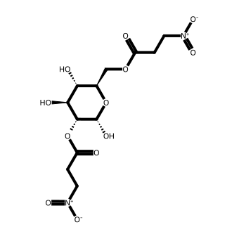 O=C(CC[N+](=O)[O-])OC[C@H]1O[C@H](O)[C@H](OC(=O)CC[N+](=O)[O-])[C@@H](O)[C@@H]1O